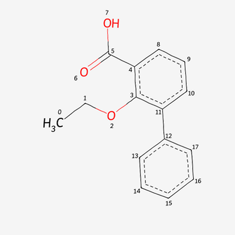 CCOc1c(C(=O)O)cccc1-c1ccccc1